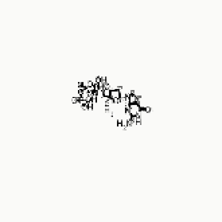 C[C@]1(COP(=O)(O)OP(=O)(O)OP(=O)(O)O)O[C@@H](n2cnc3c(=O)[nH]c(N)nc32)C[C@@H]1O